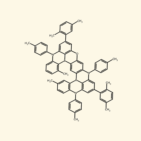 Cc1ccc(N2c3cccc(C)c3B3c4cc5c(cc4Oc4cc(-c6cc(C)ccc6C)cc2c43)N(c2ccc(C)cc2)c2cc(-c3cc(C)ccc3C)cc3c2B5c2cc(C)ccc2N3c2ccc(C)cc2)cc1